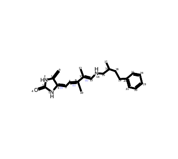 C=c1[nH]c(=O)[nH]/c1=C/C=C(C)/C(C)=C/NCC(C)CCc1ccccc1